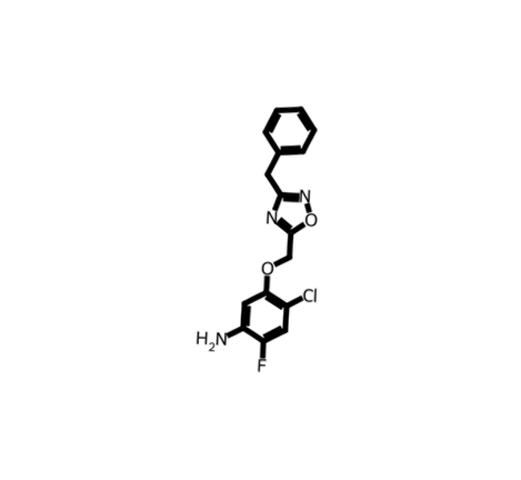 Nc1cc(OCc2nc(Cc3ccccc3)no2)c(Cl)cc1F